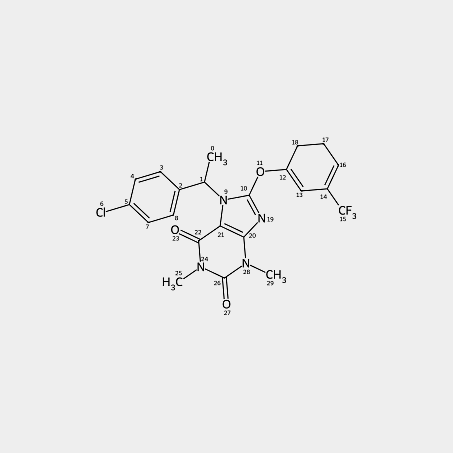 CC(c1ccc(Cl)cc1)n1c(OC2=CC(C(F)(F)F)=CCC2)nc2c1c(=O)n(C)c(=O)n2C